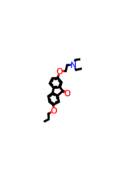 CCCOc1ccc2c(c1)C(=O)c1cc(OCCN(CC)CC)ccc1-2